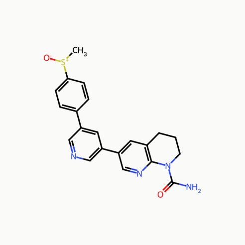 C[S+]([O-])c1ccc(-c2cncc(-c3cnc4c(c3)CCCN4C(N)=O)c2)cc1